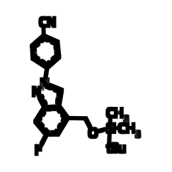 CC(C)(C)[Si](C)(C)OCc1cc(F)cc2nn(-c3ccc(C#N)cc3)cc12